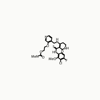 CNC(=O)OCCOc1cnccc1CNC1=C(C(=S)Nc2ccc(F)c(Cl)c2OC)C(=O)NCC1